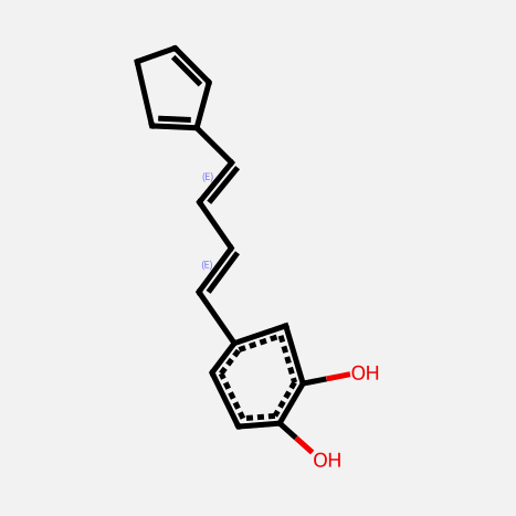 Oc1ccc(/C=C/C=C/C2=CCC=C2)cc1O